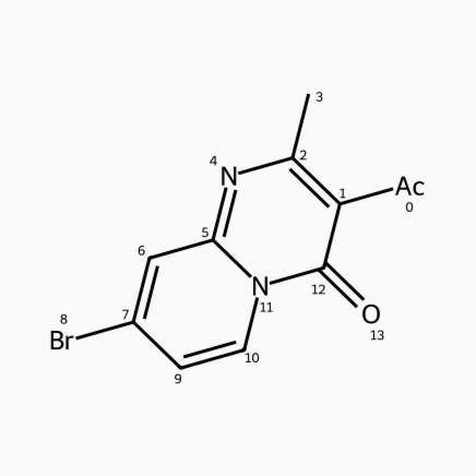 CC(=O)c1c(C)nc2cc(Br)ccn2c1=O